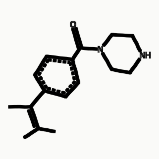 CC(C)=C(C)c1ccc(C(=O)N2CCNCC2)cc1